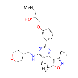 CNCC(O)COc1cccc(-c2nc(NCC3CCOCC3)c(C)c(-c3c(C)noc3C)n2)c1